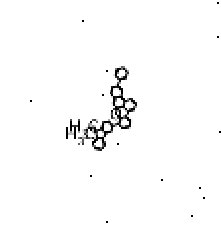 CC1(C)c2ccccc2-c2cc(-c3cccc4c3Oc3cc5ccc(-c6ccccc6)cc5c5cccc-4c35)ccc21